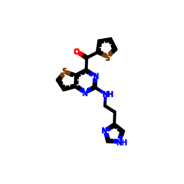 O=C(c1cccs1)c1nc(NCCc2c[nH]cn2)nc2ccsc12